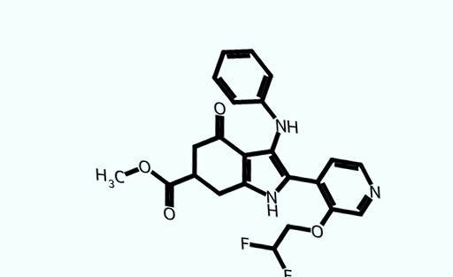 COC(=O)C1CC(=O)c2c([nH]c(-c3ccncc3OCC(F)F)c2Nc2ccccc2)C1